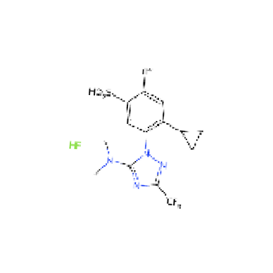 CC(C)c1cc(C2CC2)c(-n2nc(C(F)(F)F)nc2N(C)C)cc1S(=O)(=O)O.F